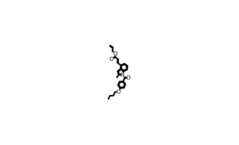 C=CCOC(=O)/C=C/c1cccc2c1cc(C)n2C(=O)c1ccc(OCCCC)cc1